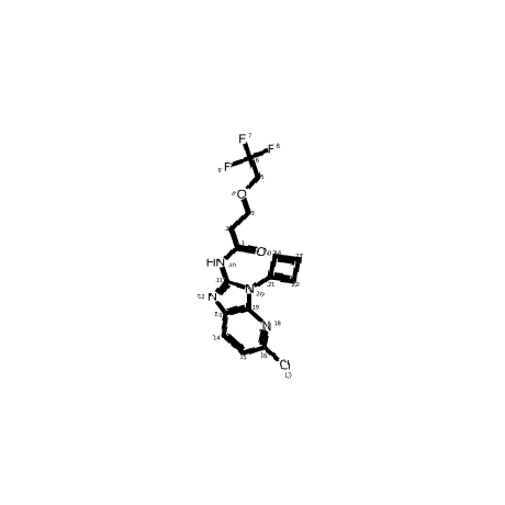 O=C(CCOCC(F)(F)F)Nc1nc2ccc(Cl)nc2n1C1=CC=C1